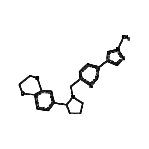 Cn1cc(-c2ccc(CN3CCCC3c3ccc4c(c3)OCCO4)nc2)cn1